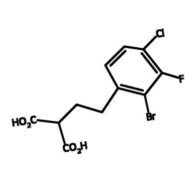 O=C(O)C(CCc1ccc(Cl)c(F)c1Br)C(=O)O